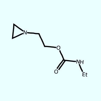 [CH2]CNC(=O)OCCN1CC1